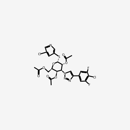 CC(=O)OC[C@H]1O[C@H](Sc2cncc(Cl)c2)[C@H](OC(C)=O)[C@@H](n2cc(-c3cc(F)c(Cl)c(F)c3)nn2)[C@H]1OC(C)=O